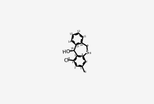 Cc1cc(Cl)c2c(c1)SCc1ccccc1C2O